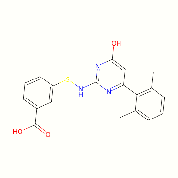 Cc1cccc(C)c1-c1cc(O)nc(NSc2cccc(C(=O)O)c2)n1